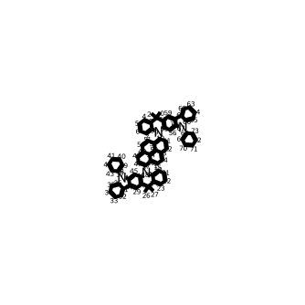 CC1(C)c2ccccc2N(c2ccc3ccc4c(N5c6ccccc6C(C)(C)c6cc7c8ccccc8n(-c8ccccc8)c7cc65)ccc5ccc2c3c54)c2cc3c(cc21)c1ccccc1n3-c1ccccc1